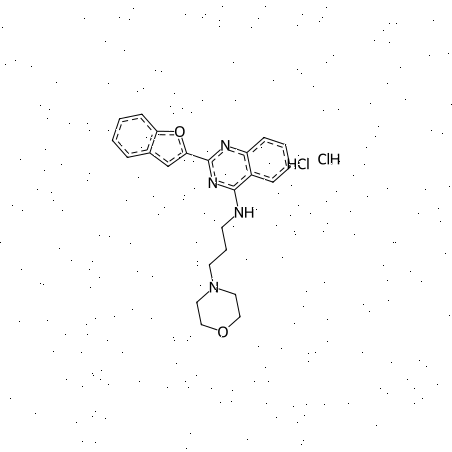 Cl.Cl.c1ccc2oc(-c3nc(NCCCN4CCOCC4)c4ccccc4n3)cc2c1